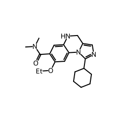 CCOc1cc2c(cc1C(=O)N(C)C)NCc1cnc(C3CCCCC3)n1-2